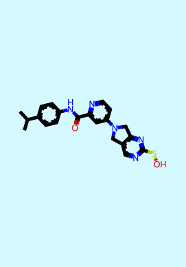 CC(C)c1ccc(NC(=O)c2cc(N3Cc4cnc(SO)nc4C3)ccn2)cc1